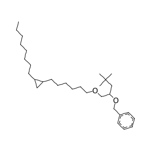 CCCCCCCCC1CC1CCCCCCOCC(CC(C)(C)C)OCc1ccccc1